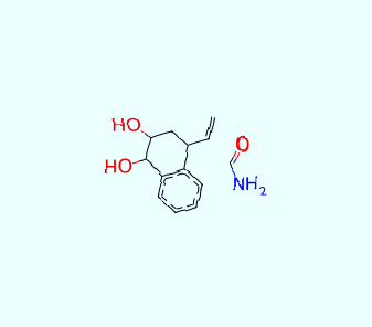 C=CC1CC(O)C(O)c2ccccc21.NC=O